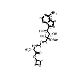 COC(C#N)(COCN[C@@H](C)C(=O)OC1COC1)[C@@H](O)[C@@H](O)c1ccc2c(N)ncnn12